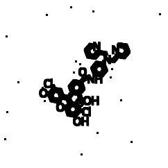 O=C(Nc1ccc(N(Cc2ccccn2)Cc2ccccn2)cc1)c1ccc(-c2c3cc(Cl)c(=O)cc-3oc3cc(O)c(Cl)cc23)c(C(=O)O)c1